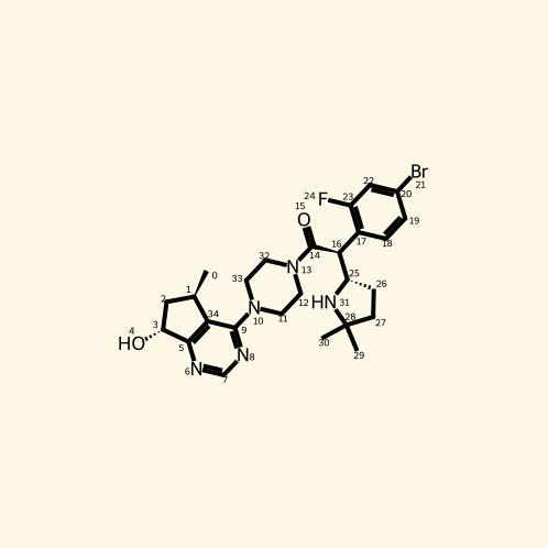 C[C@@H]1C[C@@H](O)c2ncnc(N3CCN(C(=O)[C@@H](c4ccc(Br)cc4F)[C@@H]4CCC(C)(C)N4)CC3)c21